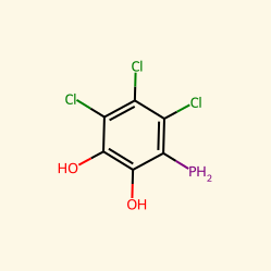 Oc1c(O)c(Cl)c(Cl)c(Cl)c1P